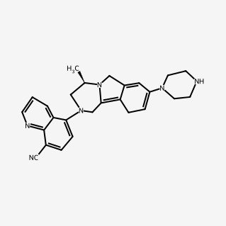 C[C@@H]1CN(c2ccc(C#N)c3ncccc23)CC2=C3CC=C(N4CCNCC4)C=C3CN21